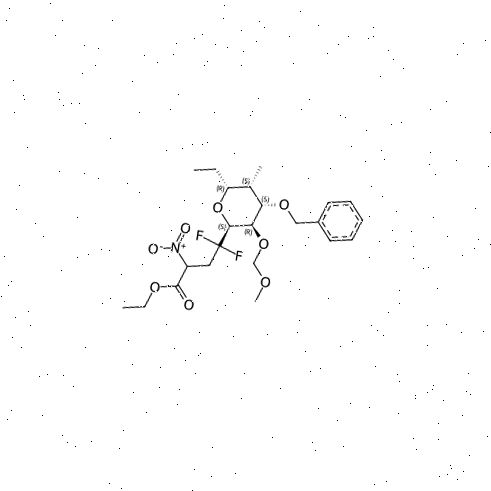 CCOC(=O)C(CC(F)(F)[C@H]1O[C@H](CC)[C@H](C)[C@H](OCc2ccccc2)[C@H]1OCOC)[N+](=O)[O-]